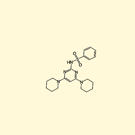 O=S(=O)(Nc1nc(N2CCCCC2)cc(N2CCCCC2)n1)c1ccccc1